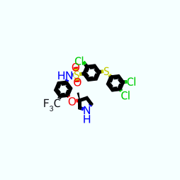 C[C@@]1(Oc2cc(NS(=O)(=O)c3ccc(Sc4ccc(Cl)c(Cl)c4)cc3Cl)ccc2C(F)(F)F)CCNC1